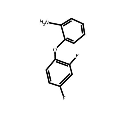 Nc1ccccc1Oc1ccc(F)cc1F